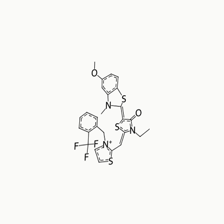 CCn1c(=O)/c(=C2\Sc3ccc(OC)cc3N2C)s/c1=C\c1scc[n+]1Cc1ccccc1C(F)(F)F